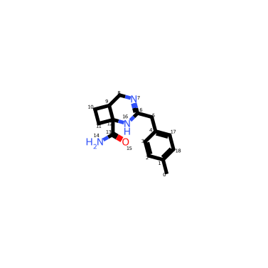 Cc1ccc(CC2=NCC3CCC3(C(N)=O)N2)cc1